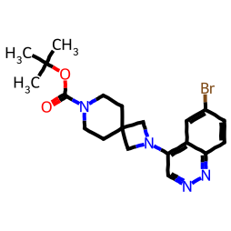 CC(C)(C)OC(=O)N1CCC2(CC1)CN(c1cnnc3ccc(Br)cc13)C2